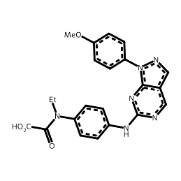 CCN(C(=O)C(=O)O)c1ccc(Nc2ncc3cnn(-c4ccc(OC)cc4)c3n2)cc1